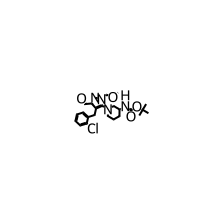 COCn1nc(C=O)c(Cc2ccccc2Cl)c1N1CCC[C@@H](NC(=O)OC(C)(C)C)C1